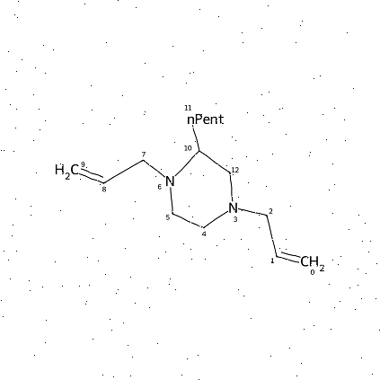 C=CCN1CCN(CC=C)C(CCCCC)C1